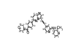 Cc1ncccc1Nc1cc(C#Cc2cnc3ccc(-c4ccc(C(=O)N5CCOCC5)cc4)nn23)ccn1